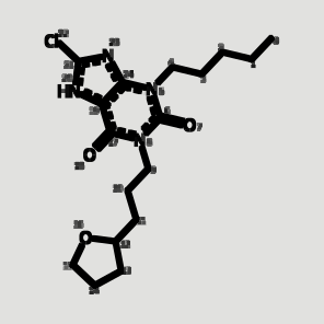 CCCCCn1c(=O)n(CCCC2CCCO2)c(=O)c2[nH]c(Cl)nc21